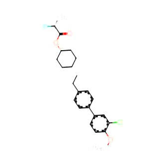 CCCCCOc1ccc(-c2ccc(CC[C@H]3CC[C@H](OC(=O)[C@@H](F)CCCC)CC3)cc2)cc1Cl